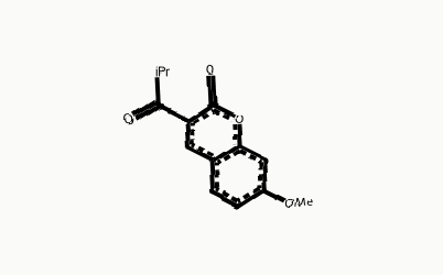 COc1ccc2cc(C(=O)C(C)C)c(=O)oc2c1